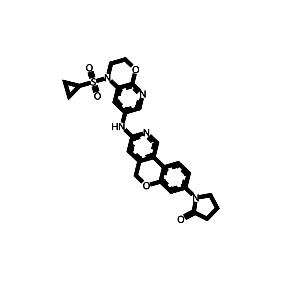 O=C1CCCN1c1ccc2c(c1)OCc1cc(Nc3cnc4c(c3)N(S(=O)(=O)C3CC3)CCO4)ncc1-2